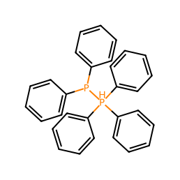 c1ccc(P(c2ccccc2)[PH](c2ccccc2)(c2ccccc2)c2ccccc2)cc1